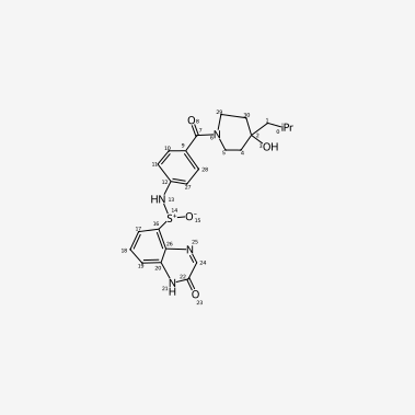 CC(C)CC1(O)CCN(C(=O)c2ccc(N[S+]([O-])c3cccc4[nH]c(=O)cnc34)cc2)CC1